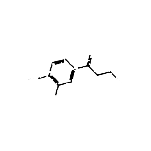 CSc1ccc(C(=O)CCC(C)=O)cc1F